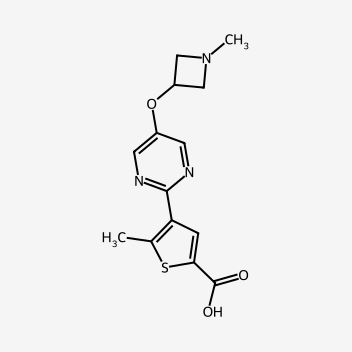 Cc1sc(C(=O)O)cc1-c1ncc(OC2CN(C)C2)cn1